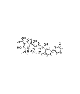 CN(C)[C@@H]1C(O)=C(C(N)=O)C(=O)[C@@]2(O)C(O)=C3C(=O)c4c(cc5ccc(-c6cccc(Cl)c6)cc5c4O)C[C@H]3C[C@@H]12